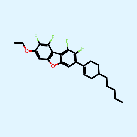 CCCCCC1CC=C(c2cc3oc4cc(OCC)c(F)c(F)c4c3c(F)c2F)CC1